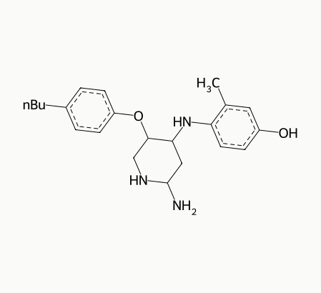 CCCCc1ccc(OC2CNC(N)CC2Nc2ccc(O)cc2C)cc1